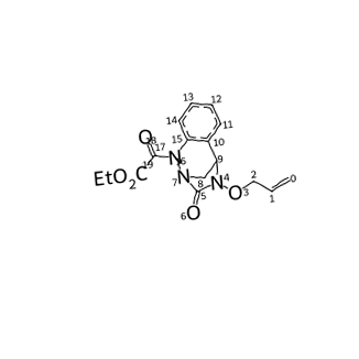 C=CCON1C(=O)N2CC1c1ccccc1N2C(=O)C(=O)OCC